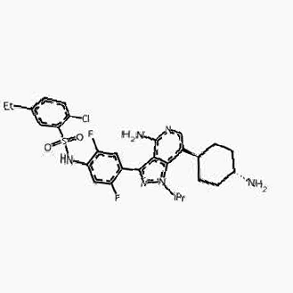 CCc1ccc(Cl)c(S(=O)(=O)Nc2cc(F)c(-c3nn(C(C)C)c4c3c(N)ncc4[C@H]3CC[C@H](N)CC3)cc2F)c1